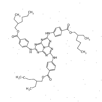 CCCCC(CC)COC(=O)c1ccc(NC2=NC3=NC(Nc4ccc(C(=O)OCC(CC)CCCC)cc4)=NC4=NC(Nc5ccc(C(=O)OCC(CC)CCCC)cc5)=NC(=N2)N34)cc1